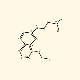 CCOc1cccc2ccc(OCCC(C)C)cc12